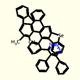 Cc1cc2c(c(-c3c(-c4ccccc4)cc4[se]c5ccccc5c4c3-c3ccccc3-c3nnnc(-c4ccccc4)c3-c3ccccc3)c1C)Cc1ccccc1-2